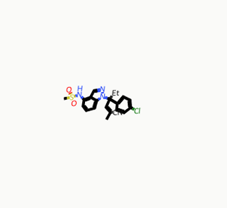 CCC(C=C(C)C#N)(c1ccc(Cl)cc1)n1ncc2c(NS(C)(=O)=O)cccc21